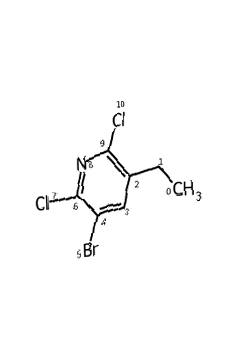 CCc1cc(Br)c(Cl)nc1Cl